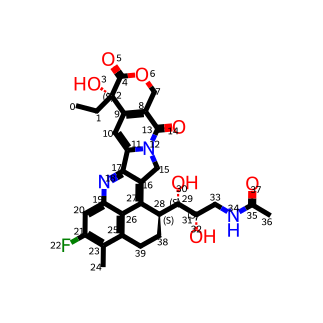 CC[C@@]1(O)C(=O)OCc2c1cc1n(c2=O)Cc2c-1nc1cc(F)c(C)c3c1c2[C@@H]([C@H](O)[C@@H](O)CNC(C)=O)CC3